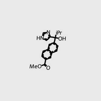 COC(=O)c1ccc2cc(C(O)(c3c[nH]cn3)C(C)C)ccc2c1